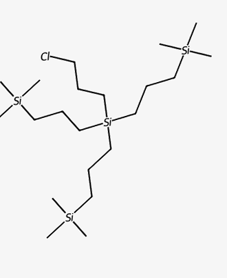 C[Si](C)(C)CCC[Si](CCCCl)(CCC[Si](C)(C)C)CCC[Si](C)(C)C